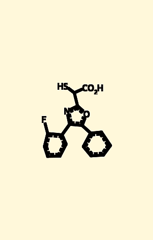 O=C(O)C(S)c1nc(-c2ccccc2F)c(-c2ccccc2)o1